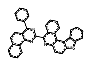 c1ccc(-c2nc(-c3nc4ccc5sc6ccccc6c5c4c4ccccc34)nc3c2ccc2ccccc23)cc1